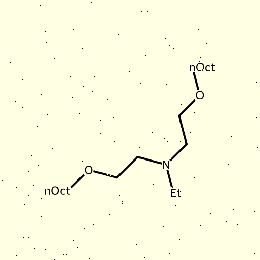 CCCCCCCCOCCN(CC)CCOCCCCCCCC